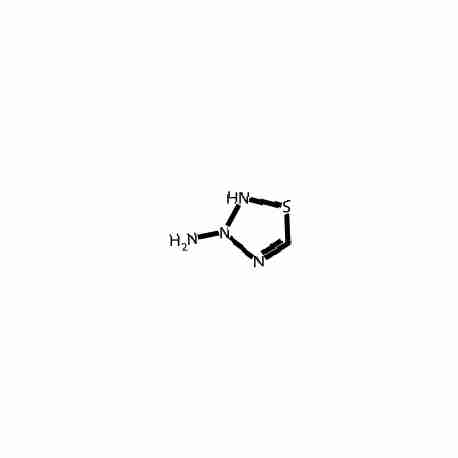 NN1N=CSN1